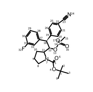 CC(C)(C)OC(=O)N1CCCC1[C@H](OS(C)(=O)=O)[C@H](c1ccc(C#N)cc1)c1cccc(F)c1